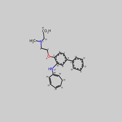 CN(CCOc1ccc(-c2ccccc2)cc1NC1=CCC=CC=C1)CC(=O)O